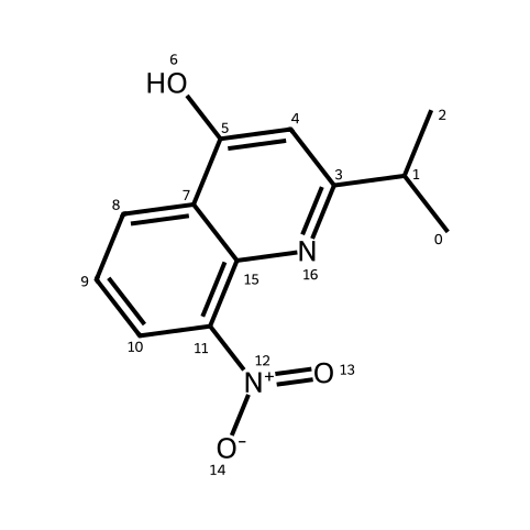 CC(C)c1cc(O)c2cccc([N+](=O)[O-])c2n1